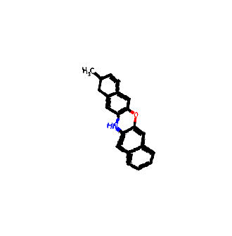 CC1C=Cc2cc3c(cc2C1)Nc1cc2ccccc2cc1O3